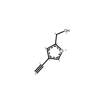 C#Cc1csc(CO)c1